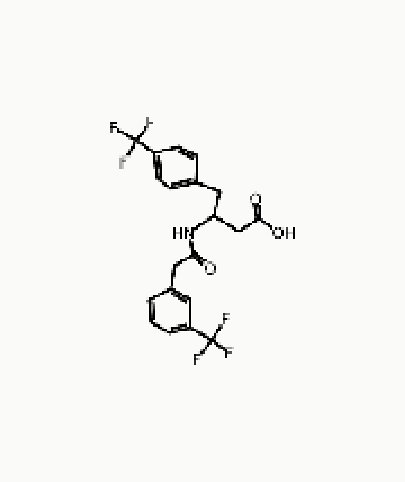 O=C(O)CC(Cc1ccc(C(F)(F)F)cc1)NC(=O)Cc1cccc(C(F)(F)F)c1